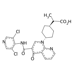 CC(C(=O)O)[C@H]1CC[C@H](n2cc(C(=O)Nc3c(Cl)cncc3Cl)c(=O)c3cccnc32)CC1